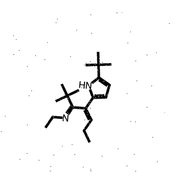 CC/C=C(\C(=N\CC)C(C)(C)C)c1ccc(C(C)(C)C)[nH]1